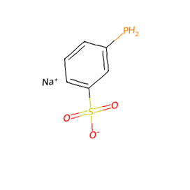 O=S(=O)([O-])c1cccc(P)c1.[Na+]